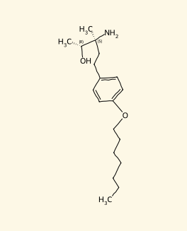 CCCCCCCOc1ccc(CC[C@](C)(N)[C@@H](C)O)cc1